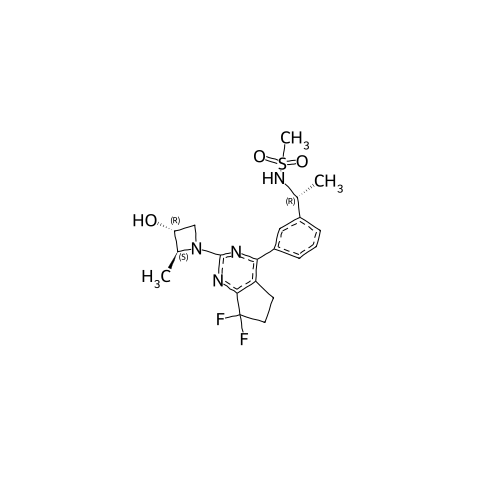 C[C@@H](NS(C)(=O)=O)c1cccc(-c2nc(N3C[C@@H](O)[C@@H]3C)nc3c2CCC3(F)F)c1